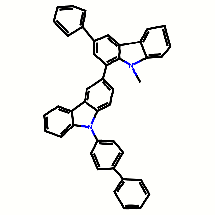 Cn1c2ccccc2c2cc(-c3ccccc3)cc(-c3ccc4c(c3)c3ccccc3n4-c3ccc(-c4ccccc4)cc3)c21